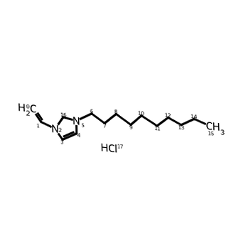 C=CN1C=CN(CCCCCCCCCC)C1.Cl